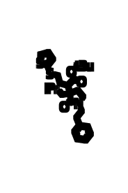 CC(C)CC1(C(CCSc2cccs2)C(=O)OC(C)(C)C)CCN(CCc2ccccc2)C1=O